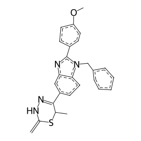 C=C1NN=C(c2ccc3c(c2)nc(-c2ccc(OC)cc2)n3Cc2ccccc2)C(C)S1